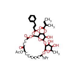 C/C=C(\C)C(=O)OC1C(O)C2OC(COC(=O)CCC(=O)[C@@H](OC(C)=O)CCCCC[C@H](CCC)OC3OC(C)C(O)C(O)C3O2)C1OC(=O)/C=C/c1ccccc1